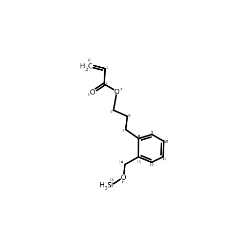 C=CC(=O)OCCCc1ccccc1CO[SiH3]